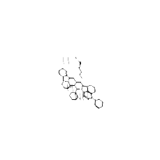 NCCCCC[C@@H]1C2CC3C4CCCCC4C4CCC[C@@H](C43)C2C(C2CCCCN2)C2C3CCC(C4C=CCCC4)C4=C3C(CCC4)C21